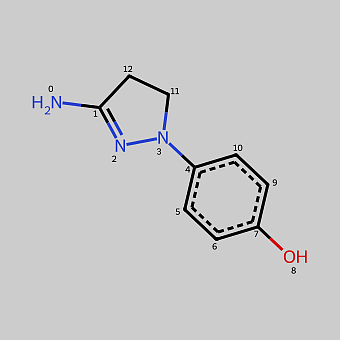 NC1=NN(c2ccc(O)cc2)CC1